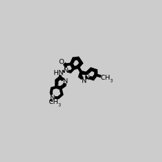 Cc1ccc2c(-c3cccc4c3CN(Nc3cc5c(cn3)CCN(C)CC5)C4=O)cnn2c1